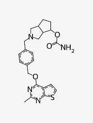 Cc1nc(OCc2ccc(CN3CC4CCC(OC(N)=O)C4C3)cc2)c2ccsc2n1